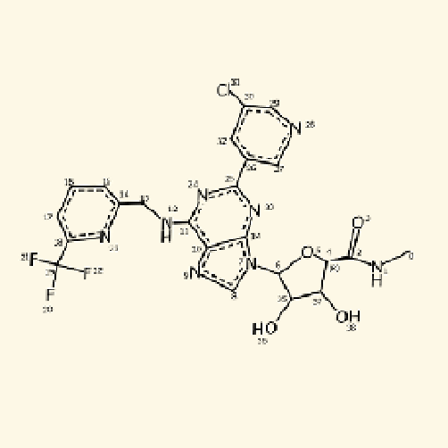 CNC(=O)[C@@H]1OC(n2cnc3c(NCc4cccc(C(F)(F)F)n4)nc(-c4cncc(Cl)c4)nc32)C(O)C1O